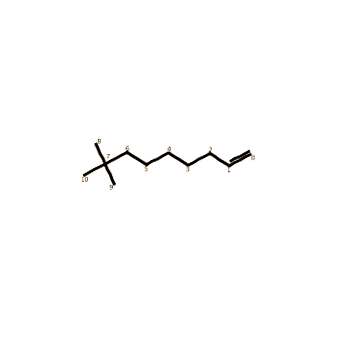 C=CCCCCCC(C)(C)C